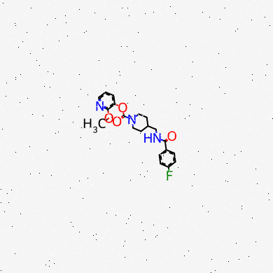 COc1ncccc1OC(=O)N1CCC(CNC(=O)c2ccc(F)cc2)CC1